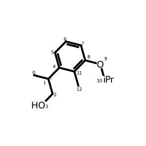 C[C](CO)c1cccc(OC(C)C)c1C